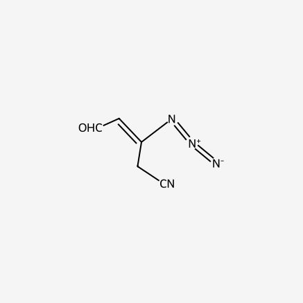 N#CC/C(=C\C=O)N=[N+]=[N-]